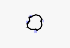 [CH]1/C=C/C=C\CC/C=C/CC/C=C/C1